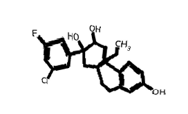 CCC12CC(O)C(O)(c3cc(F)cc(Cl)c3)CC1CCc1cc(O)ccc12